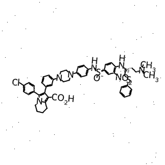 CN(C)CC[C@H](CSc1ccccc1)Nc1ccc([S+]([O-])Nc2ccc(N3CCN(c4cccc(-c5c(C(=O)O)c6n(c5-c5ccc(Cl)cc5)CCCC6)c4)CC3)cc2)cc1[N+](=O)[O-]